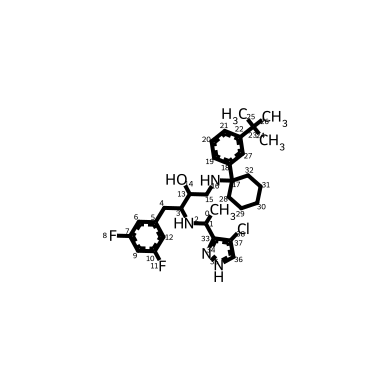 CC(NC(Cc1cc(F)cc(F)c1)C(O)CNC1(c2cccc(C(C)(C)C)c2)CCCCC1)c1n[nH]cc1Cl